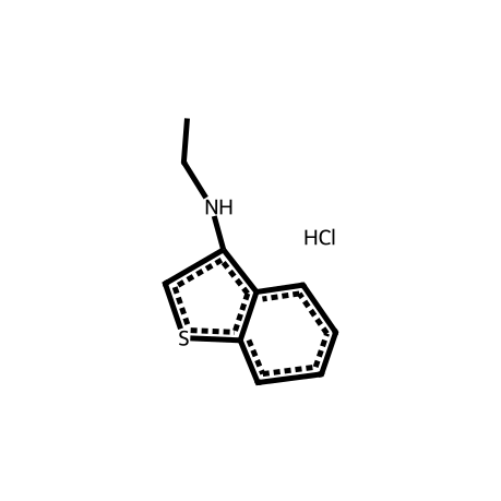 CCNc1csc2ccccc12.Cl